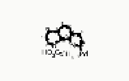 CC(=O)O.[Pd][c]1ccc2ccc3cccnc3c2n1